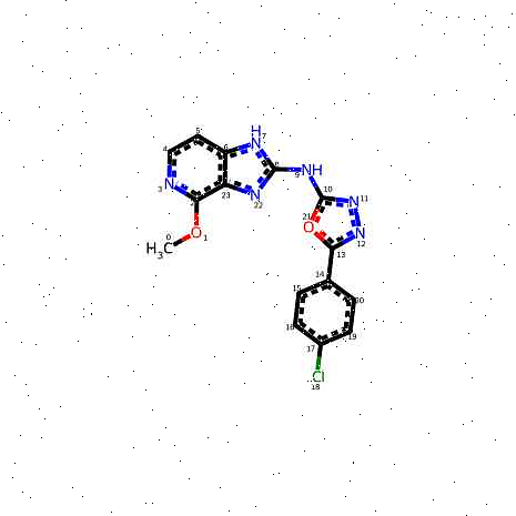 COc1nccc2[nH]c(Nc3nnc(-c4ccc(Cl)cc4)o3)nc12